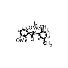 COc1cccc(OC)c1C(=O)Pc1cc(C)ccc1C.[Li]